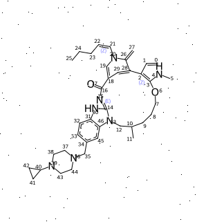 C=C/C1=C(\NC)OCCCC(C)CN2/C(=N/C(=O)C3=CN(/C=C\CCC)C(=C)C1=C3)Nc1ccc(CN3CCN(C4CC4)CC3)cc12